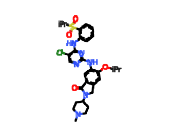 CC(C)Oc1cc2c(cc1Nc1ncc(Cl)c(Nc3ccccc3S(=O)(=O)C(C)C)n1)C(=O)N(C1CCN(C)CC1)C2